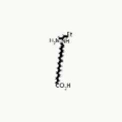 CCC=CC(CN)NCCCCCCCCCCCCCCCCCC(=O)O